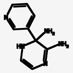 NC1=NC=CNC1(N)c1cccnc1